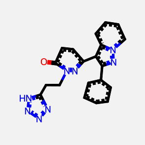 O=c1ccc(-c2c(-c3ccccc3)nn3ccccc23)nn1CCc1nnn[nH]1